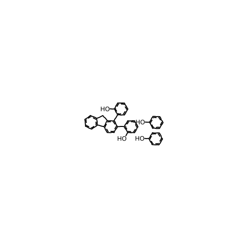 Oc1ccccc1.Oc1ccccc1.Oc1ccccc1-c1ccc2c(c1-c1ccccc1O)Cc1ccccc1-2